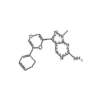 Cn1nc(C2=COC=C(C3=CC=CCC3)O2)c2cnc(N)nc21